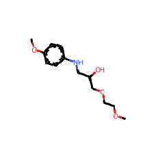 COCCOCC(O)CNc1ccc(OC)cc1